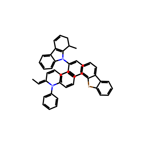 C/C=C(\C=C/C(C)c1ccccc1-n1c2c(c3ccccc31)C=CCC2C)N(c1ccccc1)c1ccc(-c2cccc3c2sc2ccccc23)cc1